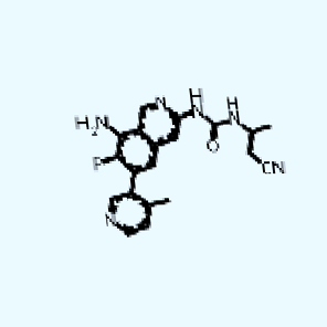 Cc1ccncc1-c1cc2cc(NC(=O)NC(C)CC#N)ncc2c(N)c1F